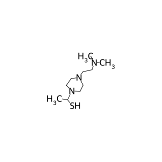 CC(S)N1CCN(CCN(C)C)CC1